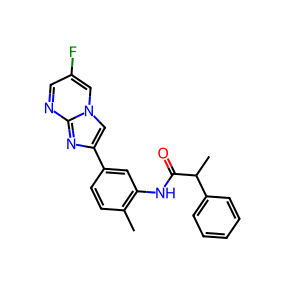 Cc1ccc(-c2cn3cc(F)cnc3n2)cc1NC(=O)C(C)c1ccccc1